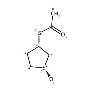 CC(=O)S[C@H]1CC[S@+]([O-])C1